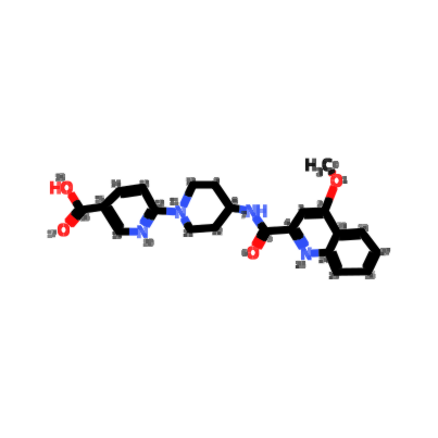 COc1cc(C(=O)NC2CCN(c3ccc(C(=O)O)cn3)CC2)nc2ccccc12